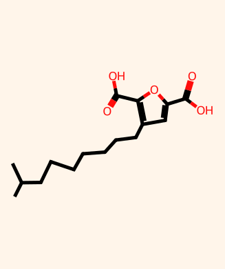 CC(C)CCCCCCCc1cc(C(=O)O)oc1C(=O)O